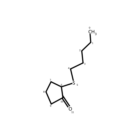 CCCCCSC1CCCC1=O